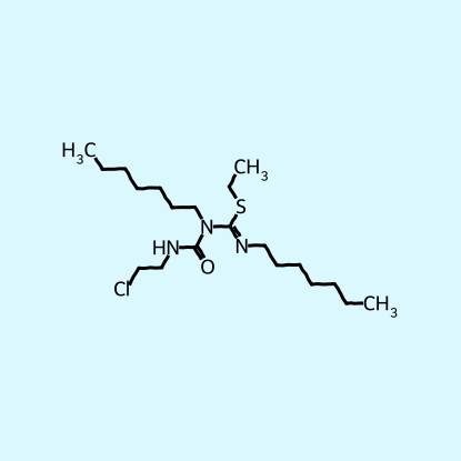 CCCCCCCN=C(SCC)N(CCCCCCC)C(=O)NCCCl